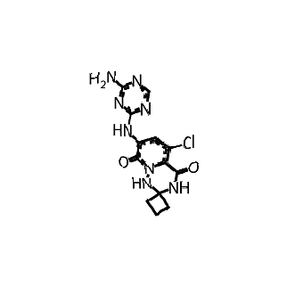 Nc1ncnc(Nc2cc(Cl)c3n(c2=O)NC2(CCC2)NC3=O)n1